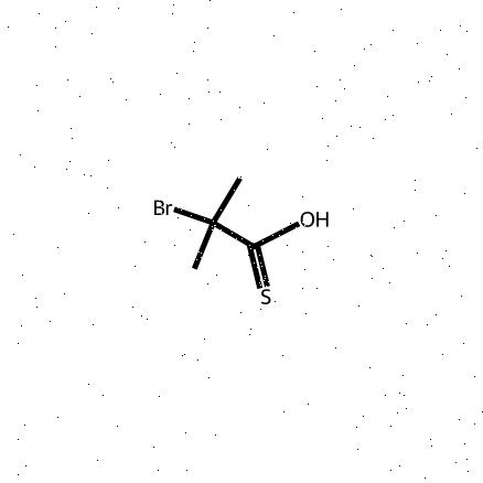 CC(C)(Br)C(O)=S